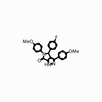 COc1ccc(-c2n[nH]c3c2C(c2ccc(F)cc2)N(c2ccc(OC)cc2)C3=O)cc1